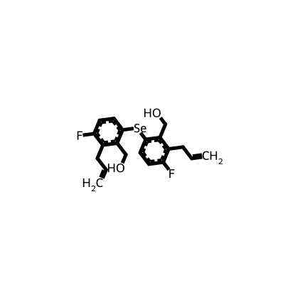 C=CCc1c(F)ccc([Se]c2ccc(F)c(CC=C)c2CO)c1CO